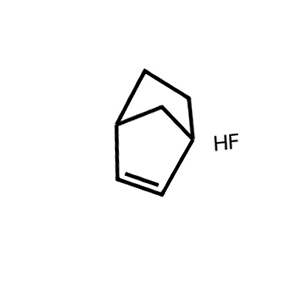 C1=CC2CCC1C2.F